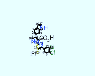 Cc1nn(-c2nc(-c3ccc(Cl)c(Cl)c3)c(SC(C)C)s2)c(C(=O)O)c1-c1ccc2cc[nH]c2c1